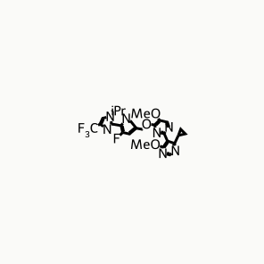 COc1cnc(-c2c(OC)ncnc2C2CC2)nc1OCc1cnc(-c2nc(C(F)(F)F)cn2C(C)C)c(F)c1